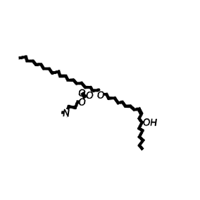 CCCCCCCCCCCCCCCCCCC(COCCCCCCCC/C=C\C[C@H](O)CCCCCC)OC(=O)OCCCN(C)C